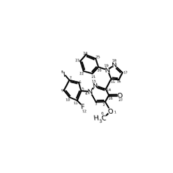 COc1cn(-c2cc(I)ccc2F)nc(-c2ccnn2-c2ccccc2)c1=O